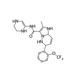 CC1=C(C(=O)NC2=CNCCN2)N2NC(c3ccccc3OC(F)(F)F)C=CC2N1